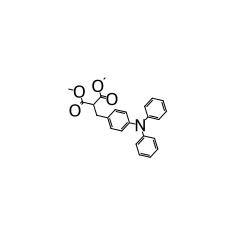 COC(=O)C(Cc1ccc(N(c2ccccc2)c2ccccc2)cc1)C(=O)OC